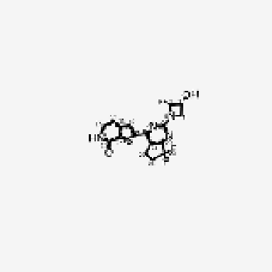 C[C@H]1[C@H](O)CN1c1nc(-c2cc3cc[nH]c(=O)c3s2)c2c(n1)C(F)(F)CC2